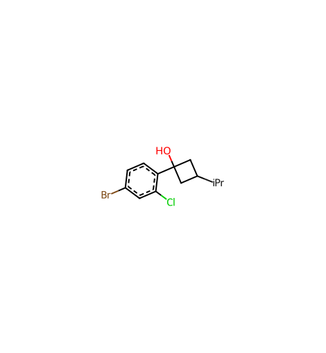 CC(C)C1CC(O)(c2ccc(Br)cc2Cl)C1